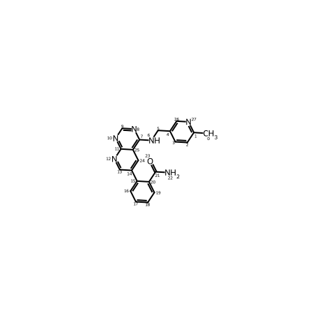 Cc1ccc(CNc2ncnc3ncc(-c4ccccc4C(N)=O)cc23)cn1